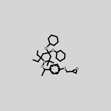 CCC1(CC)CC(OC2CCCCC2)(OC2CCCCC2)CC(C)(C)N1OC(C)c1ccc(OCC2CO2)cc1